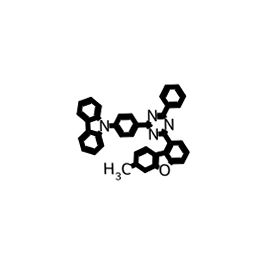 CC1C=Cc2c(oc3cccc(-c4nc(-c5ccccc5)nc(-c5ccc(-n6c7ccccc7c7ccccc76)cc5)n4)c23)C1